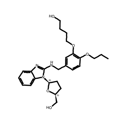 CCCOc1ccc(CNc2nc3ccccc3n2[C@H]2CC[C@@H](CO)O2)cc1OCCCCO